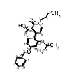 CCCCn1ccc(-c2ccc(OCc3ccccc3)cc2OC(C)C)c(C(=O)O)c1=O